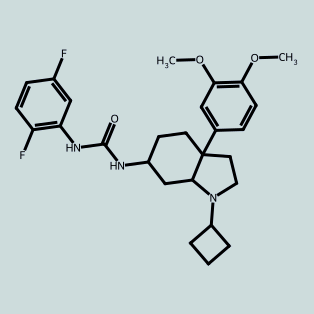 COc1ccc(C23CCC(NC(=O)Nc4cc(F)ccc4F)CC2N(C2CCC2)CC3)cc1OC